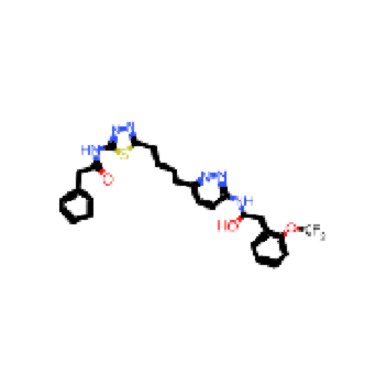 O=C(Cc1ccccc1)Nc1nnc(CCCCc2ccc(NC(O)Cc3ccccc3OC(F)(F)F)nn2)s1